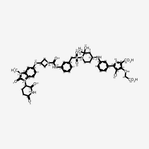 Cn1c(=O)n(C2CCC(=O)NC2=O)c2ccc(OC3CN(C(=O)Nc4cccc(CS(=O)(=O)N5CC[C@H](Nc6cccc(-c7sc(C(=O)O)c(OCC(=O)O)c7Cl)c6)CC5(C)C)c4)C3)cc21